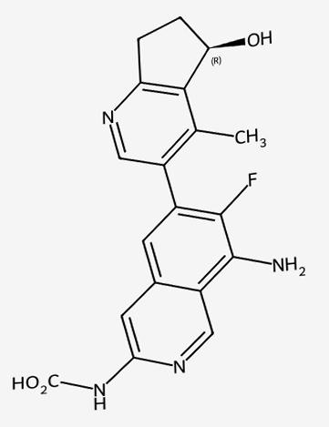 Cc1c(-c2cc3cc(NC(=O)O)ncc3c(N)c2F)cnc2c1[C@H](O)CC2